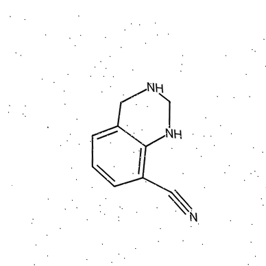 N#Cc1cccc2c1NCNC2